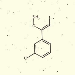 CC=C(O[SiH3])c1cccc(Cl)c1